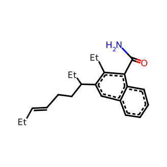 CCC=CCCC(CC)c1cc2ccccc2c(C(N)=O)c1CC